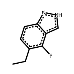 CCc1ccc2n[nH]cc2c1F